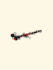 COCCOCCOCCOCCOC[C@H](N)C(=O)NCCOC(=O)Cc1ccccc1Nc1c(Cl)cccc1Cl